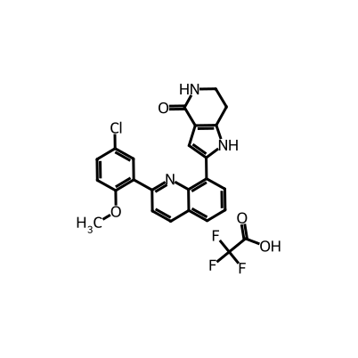 COc1ccc(Cl)cc1-c1ccc2cccc(-c3cc4c([nH]3)CCNC4=O)c2n1.O=C(O)C(F)(F)F